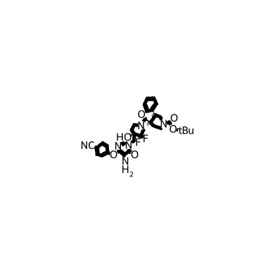 CC(C)(C)OC(=O)N1CC[C@@H](C(=O)N2CC[C@](O)(Cn3cnc(Oc4ccc(C#N)cc4)c(N)c3=O)C(F)(F)C2)[C@H](c2ccccc2)C1